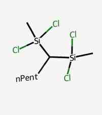 CCCCCC([Si](C)(Cl)Cl)[Si](C)(Cl)Cl